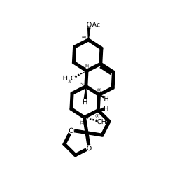 CC(=O)O[C@@H]1CC[C@@]2(C)C(=CC[C@@H]3[C@@H]2CC[C@@]2(C)[C@H]3CCC23OCCO3)C1